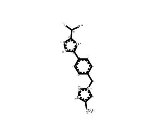 O=C(O)c1cn(Cc2ccc(-c3nnc(C(F)F)o3)cc2)nn1